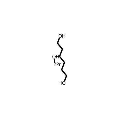 CCCO.OCCCCCCO